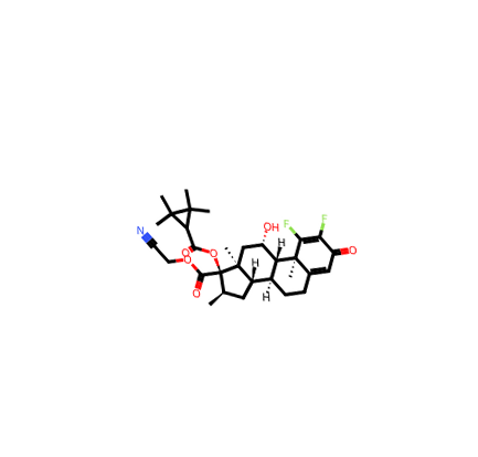 C[C@@H]1C[C@H]2[C@@H]3CCC4=CC(=O)C(F)=C(F)[C@]4(C)[C@H]3[C@@H](O)C[C@]2(C)[C@@]1(OC(=O)C1C(C)(C)C1(C)C)C(=O)OCC#N